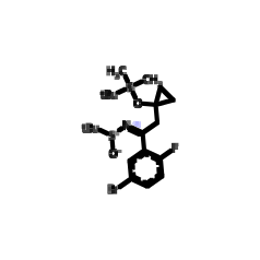 CC(C)(C)[S+]([O-])/N=C(/CC1(O[Si](C)(C)C(C)(C)C)CC1)c1cc(Br)ccc1F